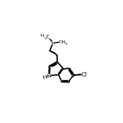 CN(C)CCc1c[nH]c2ccc(Cl)cc12